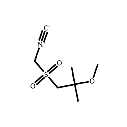 [C-]#[N+]CS(=O)(=O)CC(C)(C)OC